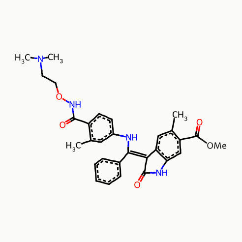 COC(=O)c1cc2c(cc1C)C(=C(Nc1ccc(C(=O)NOCCN(C)C)c(C)c1)c1ccccc1)C(=O)N2